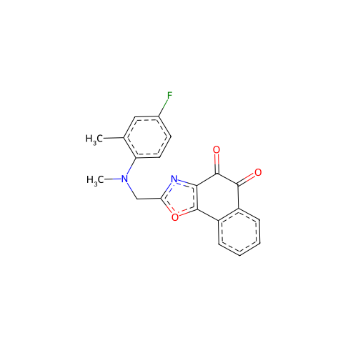 Cc1cc(F)ccc1N(C)Cc1nc2c(o1)-c1ccccc1C(=O)C2=O